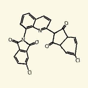 O=C1C(c2ccc3cccc(N4C(=O)c5ccc(Cl)cc5C4=O)c3n2)C(=O)C2C=C(Cl)C=CC12